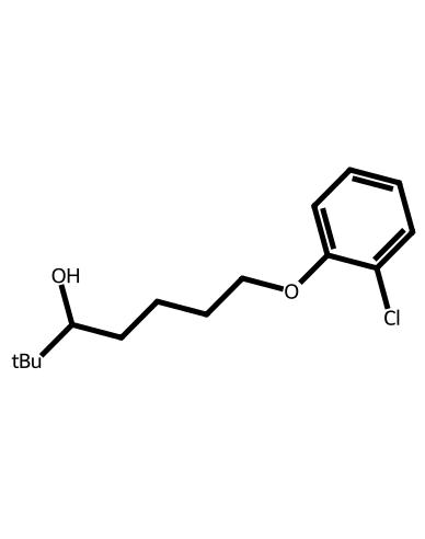 CC(C)(C)C(O)CCCCOc1ccccc1Cl